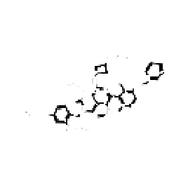 COc1ccc(CN(C(=O)OC(C)(C)C)c2ncnc3c(-c4c(C)ccc(OCc5ccccc5)c4C)nc(NC4CC(OC)C4)cc23)c(OC)c1